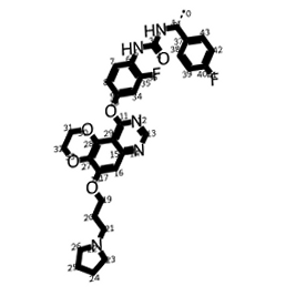 C[C@@H](NC(=O)Nc1ccc(Oc2ncnc3cc(OCCCN4CCCC4)c4c(c23)OCCO4)cc1F)c1ccc(F)cc1